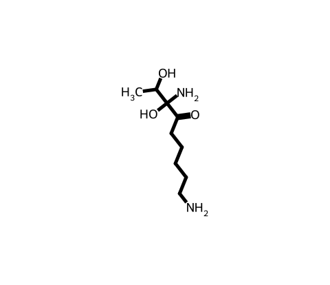 CC(O)C(N)(O)C(=O)CCCCCN